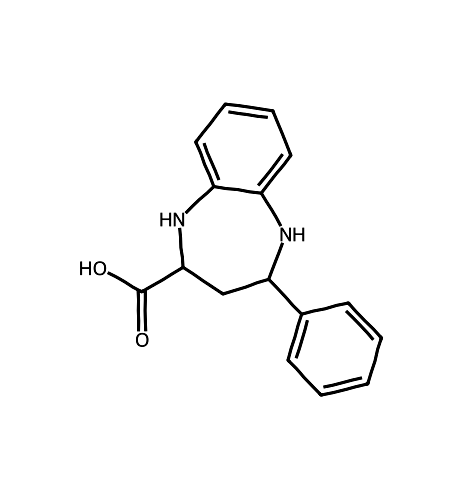 O=C(O)C1CC(c2ccccc2)Nc2ccccc2N1